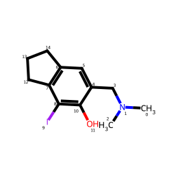 CN(C)Cc1cc2c(c(I)c1O)CCC2